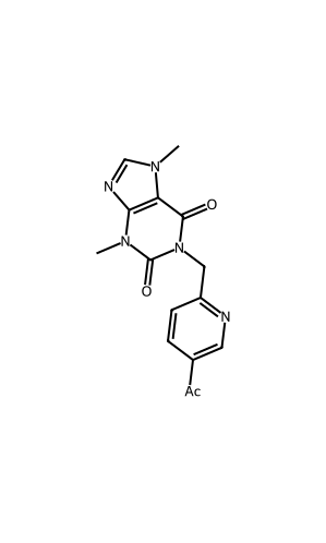 CC(=O)c1ccc(Cn2c(=O)c3c(ncn3C)n(C)c2=O)nc1